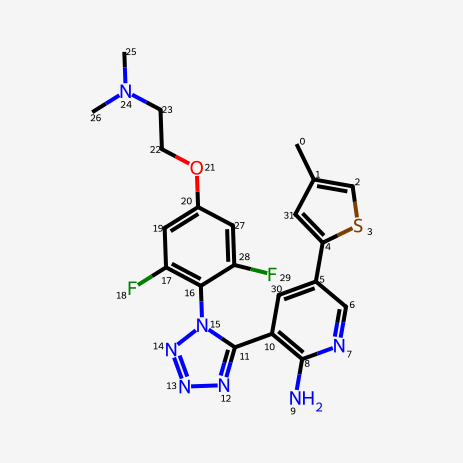 Cc1csc(-c2cnc(N)c(-c3nnnn3-c3c(F)cc(OCCN(C)C)cc3F)c2)c1